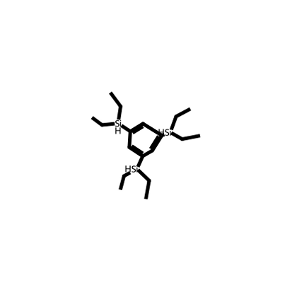 CC[SiH](CC)c1cc([SiH](CC)CC)cc([SiH](CC)CC)c1